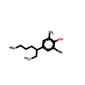 CCCCCCCCCCCCCC(CC(=O)O)c1cc(C)c(O)c(C(C)(C)C)c1